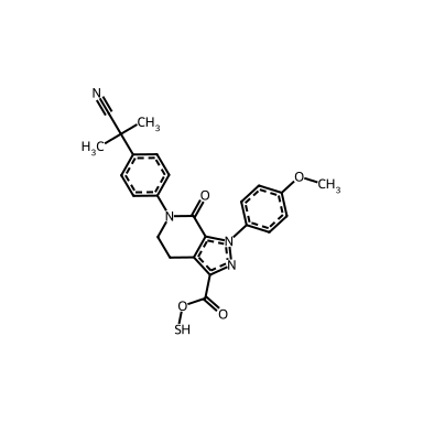 COc1ccc(-n2nc(C(=O)OS)c3c2C(=O)N(c2ccc(C(C)(C)C#N)cc2)CC3)cc1